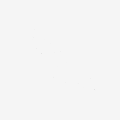 NC(=O)c1ccc(-c2nc(N)ncc2C#Cc2ccc(N3CCC(N4CCCC4)CC3)cc2)[nH]1